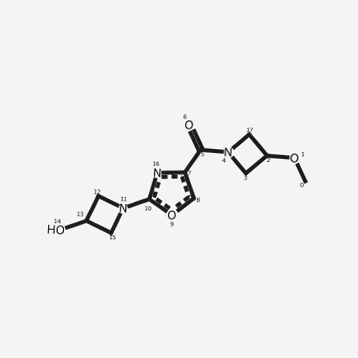 COC1CN(C(=O)c2coc(N3CC(O)C3)n2)C1